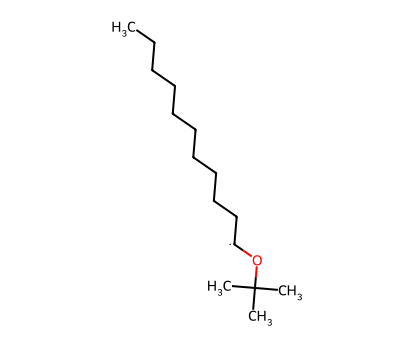 CCCCCCCCCC[CH]OC(C)(C)C